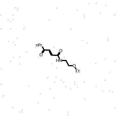 CCCC(=O)/C=C/C(=O)NCCOCC